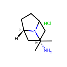 CC(C)N1C2CC[C@H]1C[C@@H](N)C2.Cl